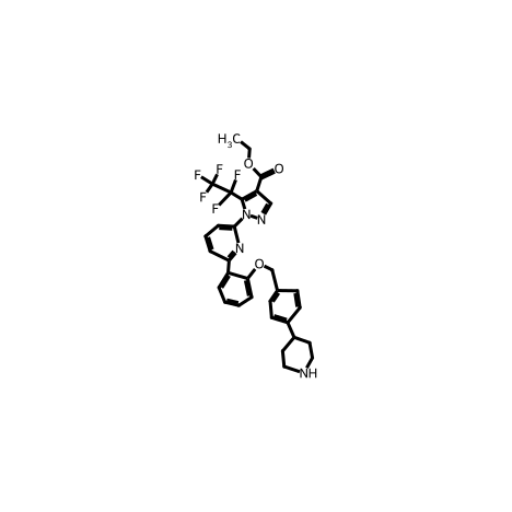 CCOC(=O)c1cnn(-c2cccc(-c3ccccc3OCc3ccc(C4CCNCC4)cc3)n2)c1C(F)(F)C(F)(F)F